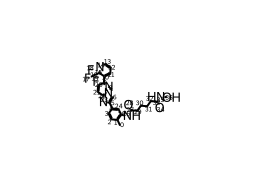 Cc1ccc(-c2cn3nc(-c4cccnc4C(F)(F)F)ccc3n2)cc1NC(=O)CCCCC(=O)NO